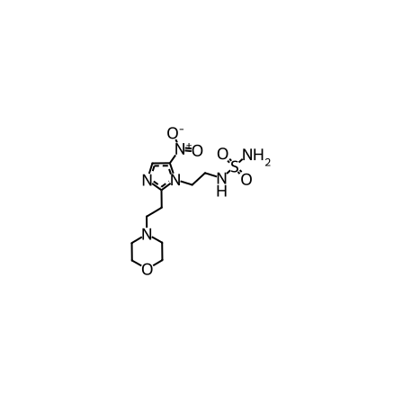 NS(=O)(=O)NCCn1c([N+](=O)[O-])cnc1CCN1CCOCC1